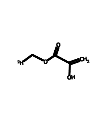 [2H]COC(=O)C(=C)O